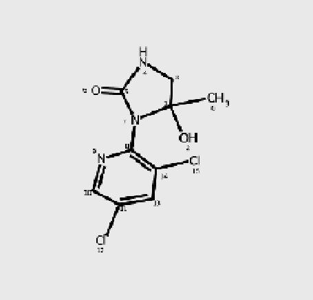 CC1(O)CNC(=O)N1c1ncc(Cl)cc1Cl